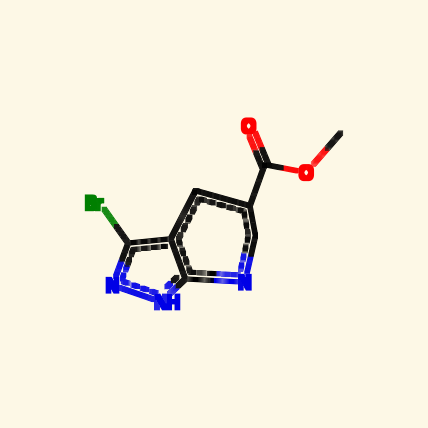 COC(=O)c1cnc2[nH]nc(Br)c2c1